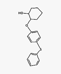 OC1CCCCC1Oc1ccc(Sc2ccccc2)cc1